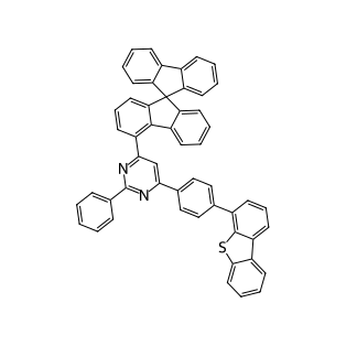 c1ccc(-c2nc(-c3ccc(-c4cccc5c4sc4ccccc45)cc3)cc(-c3cccc4c3-c3ccccc3C43c4ccccc4-c4ccccc43)n2)cc1